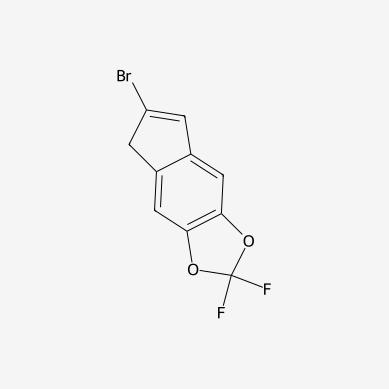 FC1(F)Oc2cc3c(cc2O1)CC(Br)=C3